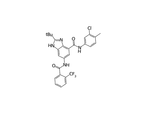 Cc1ccc(NC(=O)c2cc(NC(=O)c3ccccc3C(F)(F)F)cc3[nH]c(C(C)(C)C)nc23)cc1Cl